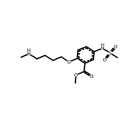 CNCCCCOc1ccc(NS(C)(=O)=O)cc1C(=O)OC